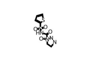 O=C(NS(=O)(=O)c1cccs1)[N+]1([O-])CCN=N1